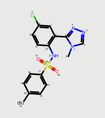 Cn1cnnc1-c1cc(Cl)ccc1NS(=O)(=O)c1ccc(C(C)(C)C)cc1